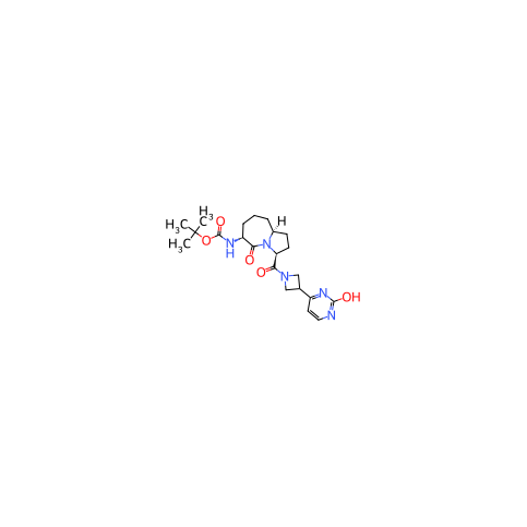 CC(C)(C)OC(=O)N[C@H]1CCC[C@H]2CC[C@@H](C(=O)N3CC(c4ccnc(O)n4)C3)N2C1=O